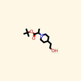 CC(C(=O)OC(C)(C)C)N1CCC(CCO)CC1